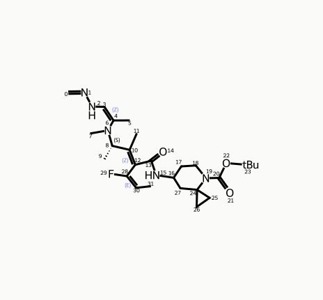 C=NN/C=C(/C)N(C)[C@@H](C)/C(C)=C(C(=O)NC1CCN(C(=O)OC(C)(C)C)C2(CC2)C1)\C(F)=C/C